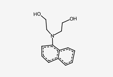 OCCN(CCO)c1cccc2ccccc12